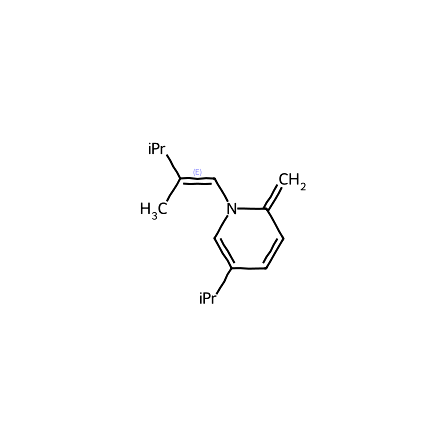 C=C1C=CC(C(C)C)=CN1/C=C(\C)C(C)C